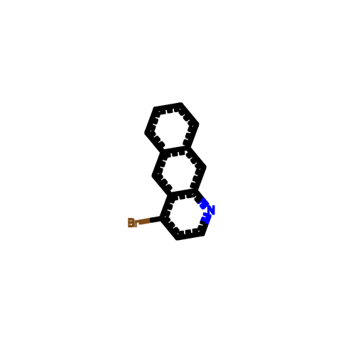 Brc1ccnc2cc3ccccc3cc12